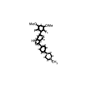 COc1cc(OC)c(F)c(-c2cc3[nH]nc(-c4ccc(N5CCN(C)CC5)cc4)c3cn2)c1F